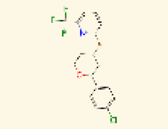 FC(F)(F)c1cccc(SC2CCOC(c3ccc(Cl)cc3)C2)n1